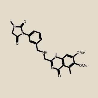 COc1cc2[nH]c(CNCc3cccc(N4C(=O)CN(C)C4=O)c3)nc(=O)c2c(C)c1OC